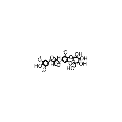 COc1cc([C@H]2OC[C@H]3[C@@H]2CO[C@H]3c2cc(OC)c(O[C@@H]3O[C@H](CO)[C@@H](O)[C@H](O)[C@H]3O)c(OC)c2)cc(OC)c1O